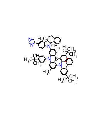 Cc1cc2c3c(c1)N(c1ccc(C(C)(C)C)cc1-c1ccccc1)c1ccc(C(C)(C)C)cc1B3c1ccc(N3c4ccc(C5=NCN=C5)cc4C4(C)CCc5ccccc5C34C)cc1N2c1ccc(C(C)(C)C)cc1